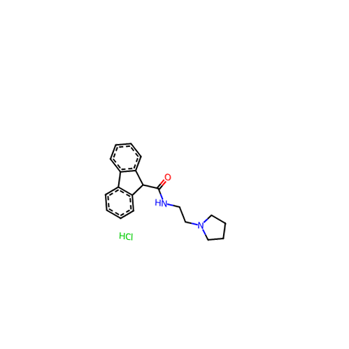 Cl.O=C(NCCN1CCCC1)C1c2ccccc2-c2ccccc21